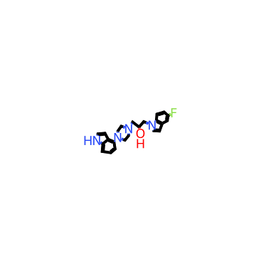 OC(CN1CCN(c2cccc3[nH]ccc23)CC1)Cn1ccc2cc(F)ccc21